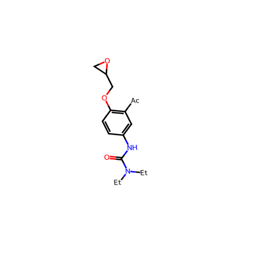 CCN(CC)C(=O)Nc1ccc(OCC2CO2)c(C(C)=O)c1